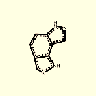 c1cc2[nH]ncc2c2[nH]ncc12